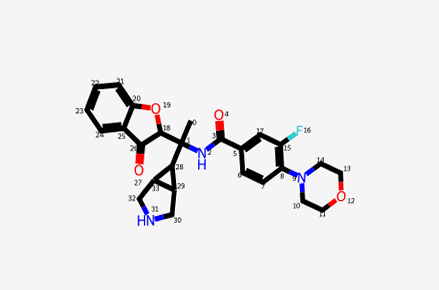 CC(NC(=O)c1ccc(N2CCOCC2)c(F)c1)(C1Oc2ccccc2C1=O)C1C2CNCC21